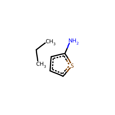 CCC.Nc1cccs1